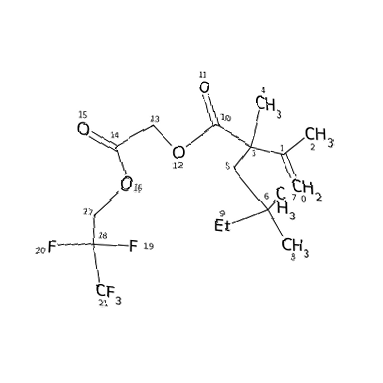 C=C(C)C(C)(CC(C)(C)CC)C(=O)OCC(=O)OCC(F)(F)C(F)(F)F